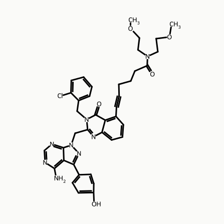 COCCN(CCOC)C(=O)CCCC#Cc1cccc2nc(Cn3nc(-c4ccc(O)cc4)c4c(N)ncnc43)n(Cc3ccccc3Cl)c(=O)c12